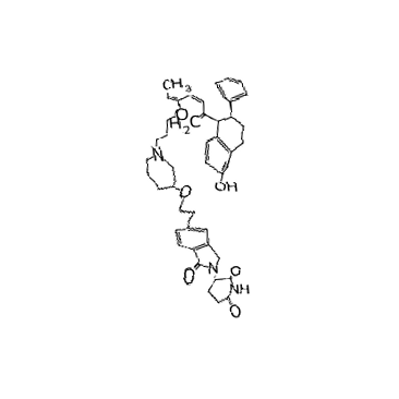 C=C(/C=C\C(=C/C)OCCCN1CCCC(OCCc2ccc3c(c2)CN([C@H]2CCC(=O)NC2=O)C3=O)C1)[C@@H]1c2ccc(O)cc2CC[C@@H]1c1ccccc1